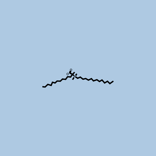 CCCCCCCCCCCCCC[N+](C)(C)C(C)(CCCCCCCCCCCC)C(=O)[O-]